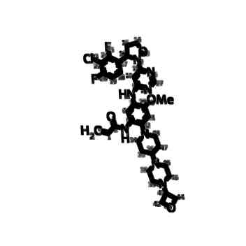 C=CC(=O)Nc1cc(Nc2cc(N3OCCC3c3ccc(F)c(Cl)c3F)ncn2)c(OC)cc1N1CCC(N2CCN(C3COC3)CC2)CC1